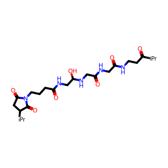 CC(C)C(=O)CCNC(=O)CNC(=O)CNC(O)CNC(=O)CCCN1C(=O)CC(C(C)C)C1=O